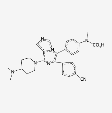 CN(C(=O)O)c1ccc(-c2c(-c3ccc(C#N)cc3)nc(N3CCC(N(C)C)CC3)c3cncn23)cc1